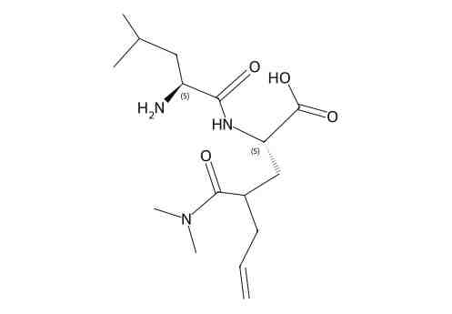 C=CCC(C[C@H](NC(=O)[C@@H](N)CC(C)C)C(=O)O)C(=O)N(C)C